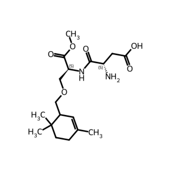 COC(=O)[C@H](COCC1C=C(C)CCC1(C)C)NC(=O)[C@@H](N)CC(=O)O